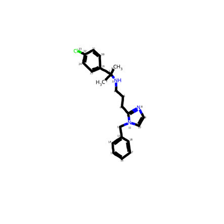 CC(C)(NCCCc1nccn1Cc1ccccc1)c1ccc(Cl)cc1